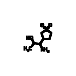 CC(O)C(N)C1CCS(=O)(=O)C1